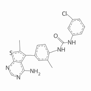 Cc1cc(-c2c(C)sc3ncnc(N)c23)ccc1NC(=O)Nc1cccc(Cl)c1